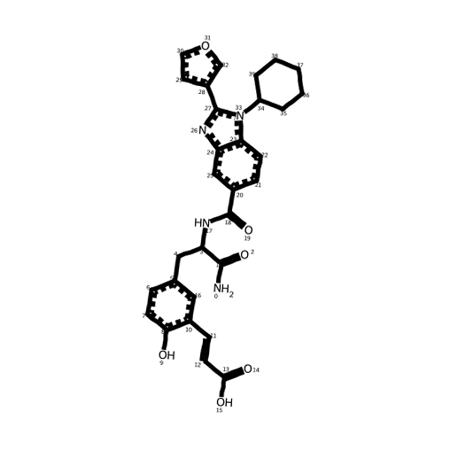 NC(=O)C(Cc1ccc(O)c(C=CC(=O)O)c1)NC(=O)c1ccc2c(c1)nc(-c1ccoc1)n2C1CCCCC1